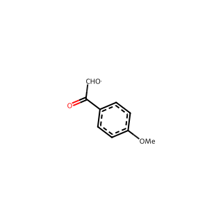 COc1ccc(C(=O)[C]=O)cc1